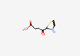 O=C(O)CCC(=O)C1NC=CS1